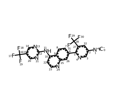 [C-]#[N+]c1cnc(-c2ccc3c(Nc4ncc(C(F)(F)F)cn4)ccnc3c2)c(C(F)(F)F)c1